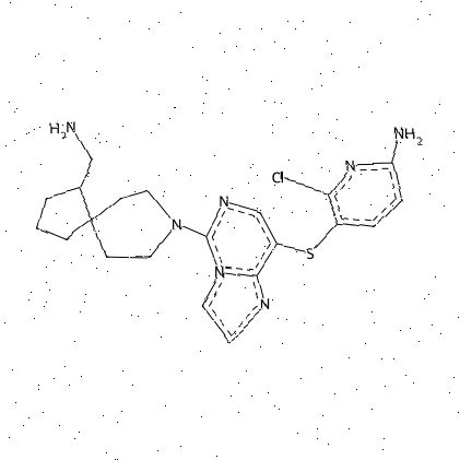 NCC1CCCC12CCN(c1ncc(Sc3ccc(N)nc3Cl)c3nccn13)CC2